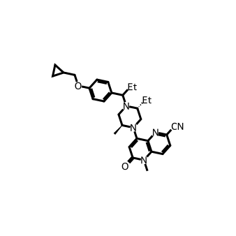 CCC(c1ccc(OCC2CC2)cc1)N1C[C@H](C)N(c2cc(=O)n(C)c3ccc(C#N)nc23)C[C@H]1CC